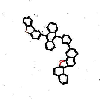 c1cc(-c2ccc3ccc4c(oc5ccc6ccccc6c54)c3c2)cc(-c2c3ccccc3c(-c3ccc4sc5ccccc5c4c3)c3ccccc23)c1